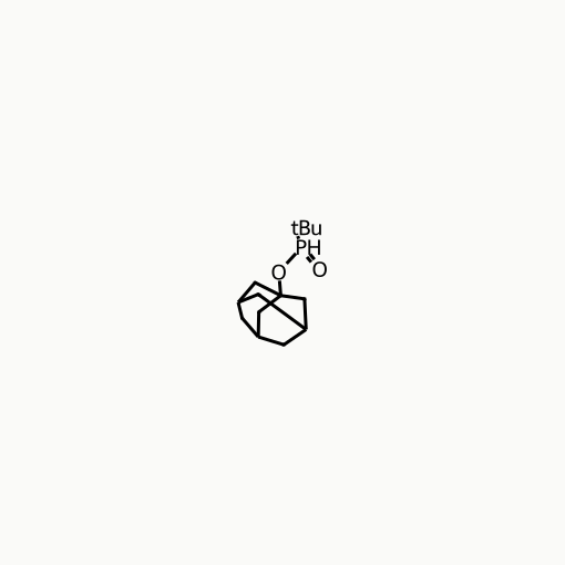 CC(C)(C)[PH](=O)OC12CC3CC(CC(C3)C1)C2